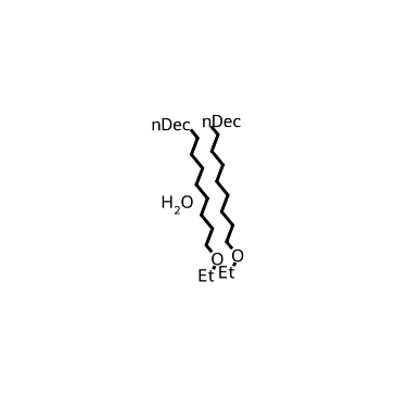 CCCCCCCCCCCCCCCCCCOCC.CCCCCCCCCCCCCCCCCCOCC.O